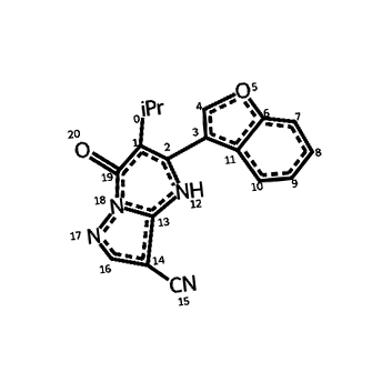 CC(C)c1c(-c2coc3ccccc23)[nH]c2c(C#N)cnn2c1=O